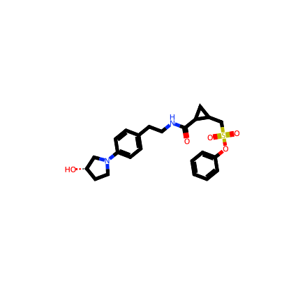 O=C(NCCc1ccc(N2CC[C@H](O)C2)cc1)C1CC1CS(=O)(=O)Oc1ccccc1